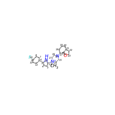 C[N+]1(c2ccc(-c3ccc(F)cc3)[nH]2)CCN(c2cccc3ccoc23)CC1